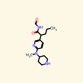 CCCC(C(=O)NC=O)c1ccc(N(C)C2CCNCC2)nc1